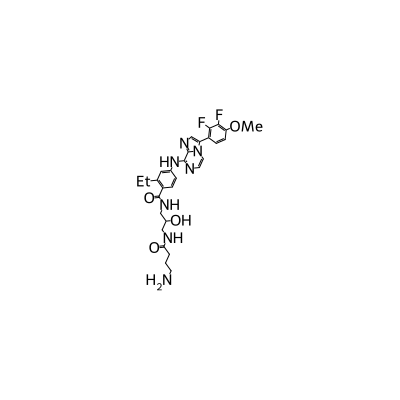 CCc1cc(Nc2nccn3c(-c4ccc(OC)c(F)c4F)cnc23)ccc1C(=O)NCC(O)CNC(=O)CCCN